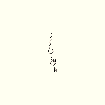 CCCCCCCC1CCC(CCc2ccc(C#N)cn2)CC1